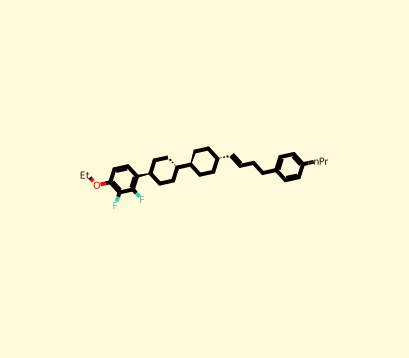 CCCc1ccc(CC/C=C/[C@H]2CC[C@H]([C@H]3CC[C@H](c4ccc(OCC)c(F)c4F)CC3)CC2)cc1